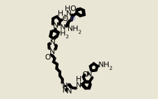 NC(N)=C(/C=C(\N)c1ccccc1O)OC1CCCN(c2ccc(N3CCN(C(=O)CCCCCCCCn4cc(CNc5cccc6c5CON(C5CCC(N)C5)C6)nn4)CC3)cc2)C1